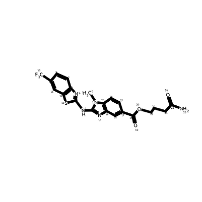 Cn1c(Nc2nc3ccc(C(F)(F)F)cc3s2)nc2cc(C(=O)OCCCC(N)=O)ccc21